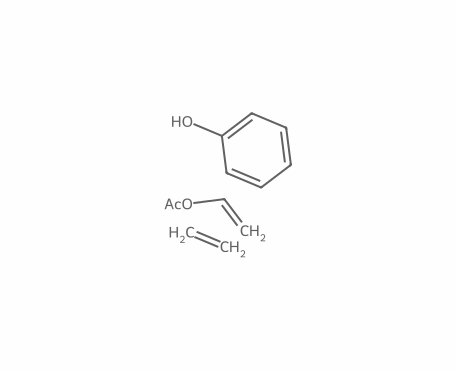 C=C.C=COC(C)=O.Oc1ccccc1